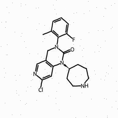 Cc1cccc(F)c1N1Cc2cnc(Cl)cc2N([C@H]2CCCNCC2)C1=O